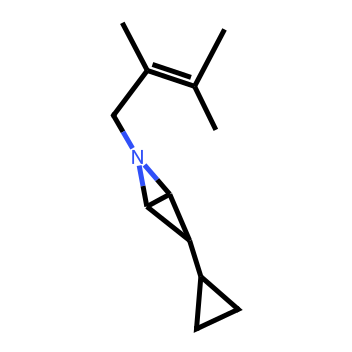 CC(C)=C(C)CN1C2C(C3CC3)C21